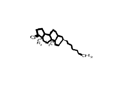 C=CCCCCC[C@H]1CC[C@@]2(C)C(CCC3C2CC[C@]2(C)C(=O)CCC32)C1